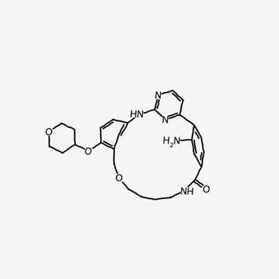 Nc1cc2ccc1-c1ccnc(n1)Nc1ccc(OC3CCOCC3)c(c1)COCCCCNC2=O